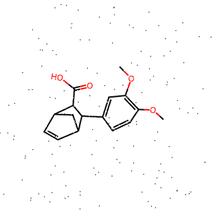 COc1ccc(C2C3C=CC(C3)C2C(=O)O)cc1OC